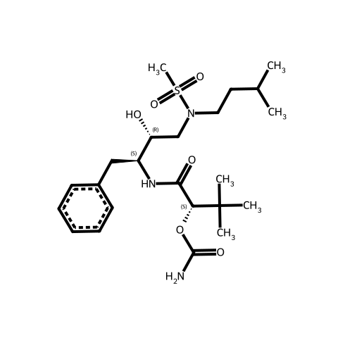 CC(C)CCN(C[C@@H](O)[C@H](Cc1ccccc1)NC(=O)[C@@H](OC(N)=O)C(C)(C)C)S(C)(=O)=O